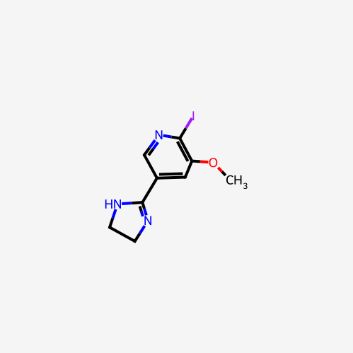 COc1cc(C2=NCCN2)cnc1I